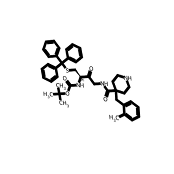 Cc1ccccc1CC1(C(=O)NCC(=O)[C@H](CSC(c2ccccc2)(c2ccccc2)c2ccccc2)NC(=O)OC(C)(C)C)CCNCC1